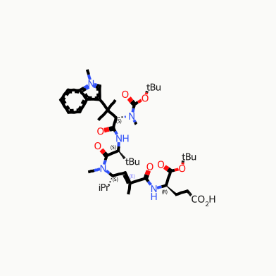 C/C(=C\[C@H](C(C)C)N(C)C(=O)[C@@H](NC(=O)[C@@H](N(C)C(=O)OC(C)(C)C)C(C)(C)c1cn(C)c2ccccc12)C(C)(C)C)C(=O)N[C@H](CCC(=O)O)C(=O)OC(C)(C)C